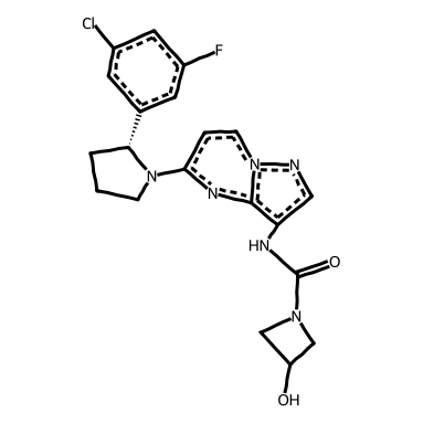 O=C(Nc1cnn2ccc(N3CCC[C@@H]3c3cc(F)cc(Cl)c3)nc12)N1CC(O)C1